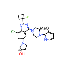 COc1cccnc1N1CCN(c2nc(C3(F)CCC3)nc3c(Cl)cc(N4CC[C@H](O)C4)cc23)CC1